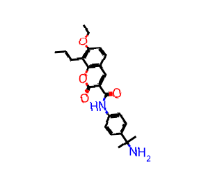 CCCc1c(OCC)ccc2cc(C(=O)Nc3ccc(C(C)(C)N)cc3)c(=O)oc12